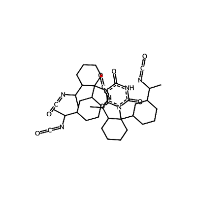 CC(N=C=O)C1CCCC(C2(n3c(=O)[nH]c(=O)n(C4(C5CCCC(C(C)N=C=O)C5)CCCCC4C(C)N=C=O)c3=O)CCCCC2C(C)N=C=O)C1